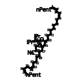 CCCCC/C=C\C/C=C\CCCCCCCCC(CCCCCCCC/C=C\C/C=C\CCCCC)OP(OCCC#N)N(C(C)C)C(C)C